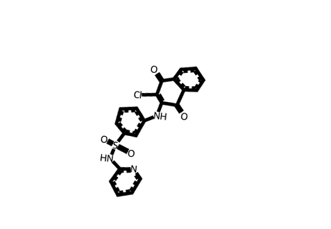 O=C1C(Cl)=C(Nc2cccc(S(=O)(=O)Nc3ccccn3)c2)C(=O)c2ccccc21